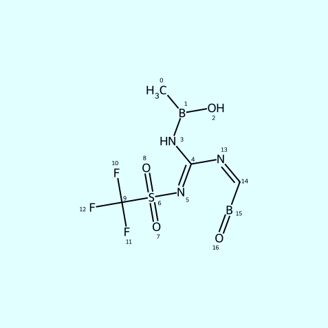 CB(O)NC(=NS(=O)(=O)C(F)(F)F)/N=C\B=O